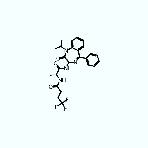 CC(C)N1C(=O)C(NC(=O)[C@H](C)NC(=O)CCC(F)(F)F)N=C(c2ccccc2)c2ccccc21